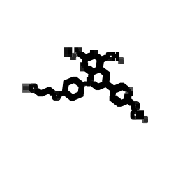 COc1ccc(C2=Cc3c(C)nc(N)nc3N([C@H]3CC[C@H](OCCO)CC3)C2)cn1